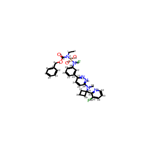 CCN(C(=O)OCc1ccccc1)S(=O)(=O)N(F)c1cccc(-c2ccc(N(C)C3(c4ncccc4F)CCC3)nn2)c1